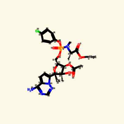 CCCCCCCOC(=O)[C@H](C)N(C)P(=O)(OC[C@H]1O[C@@](C#N)(c2ccc3c(N)ncnn23)[C@](C)(O)[C@@H]1OC(=O)C(C)C)Oc1ccc(Cl)cc1